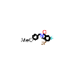 COc1ccc(CN2Cc3c(Br)cc(F)cc3C2=O)cc1